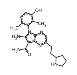 Cc1ccc(O)c(C)c1-n1c(N)c(C(N)=O)c2nc(CCC3CCCN3)cnc21